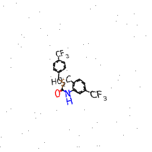 O=C(Nc1cc(C(F)(F)F)ccc1C(=O)O)SCc1ccc(C(F)(F)F)cc1